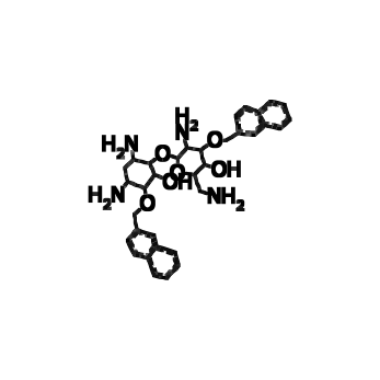 NCC1OC(OC2C(N)CC(N)C(OCc3ccc4ccccc4c3)C2O)C(N)C(OCc2ccc3ccccc3c2)C1O